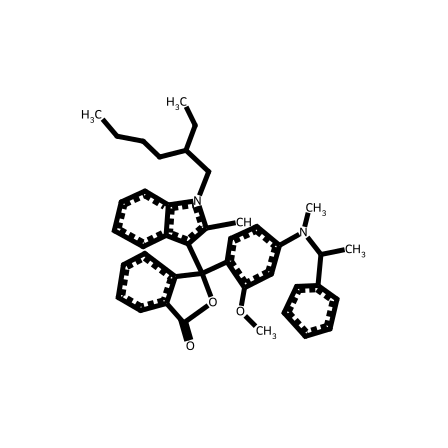 CCCCC(CC)Cn1c(C)c(C2(c3ccc(N(C)C(C)c4ccccc4)cc3OC)OC(=O)c3ccccc32)c2ccccc21